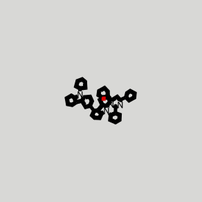 c1ccc(-c2cc(-c3ccccc3)nc(-c3ccccc3-n3c4ccccc4c4c(-c5ccc6c(c5)c5ccccc5n6-c5ccccc5)cccc43)n2)cc1